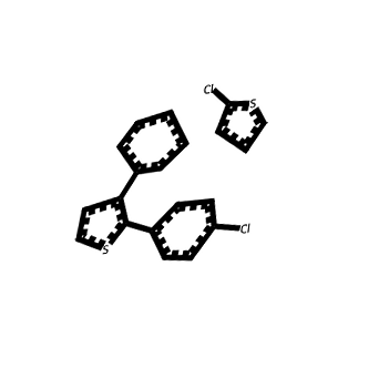 Clc1cc[c]s1.Clc1ccc(-c2s[c]cc2-c2ccccc2)cc1